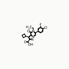 CCn1c(-c2ccc(Cl)c(F)c2)cn2nc(C(=O)O)c(C3CCC3)c2c1=O